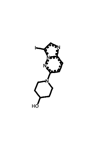 OC1CCN(c2ccc3ncc(I)n3n2)CC1